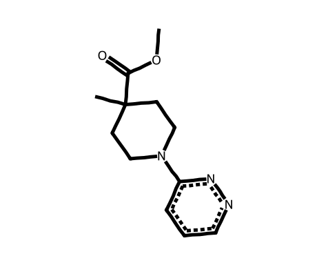 COC(=O)C1(C)CCN(c2cccnn2)CC1